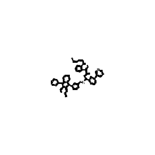 C=C/C=c1/c(-c2cccc(C\N=C(/C=C(C)/C(=C/C)c3ccccc3C(=C)/C=C\C=C/C)c3cccc(-c4cccnc4)c3)c2)c2ccccc2c(-c2ccccc2)/c1=C/C